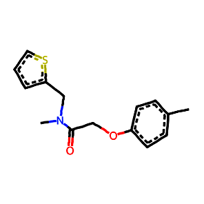 Cc1ccc(OCC(=O)N(C)Cc2cccs2)cc1